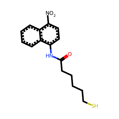 O=C(CCCCCS)Nc1ccc([N+](=O)[O-])c2ccccc12